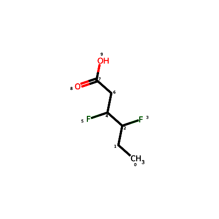 CCC(F)C(F)CC(=O)O